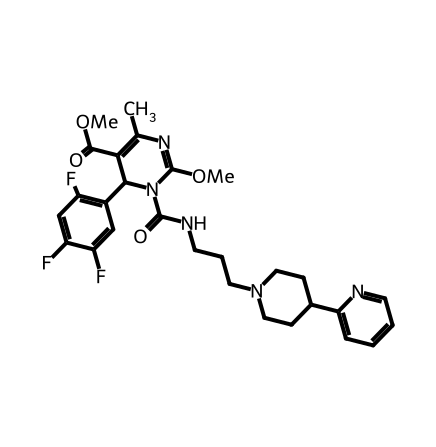 COC(=O)C1=C(C)N=C(OC)N(C(=O)NCCCN2CCC(c3ccccn3)CC2)C1c1cc(F)c(F)cc1F